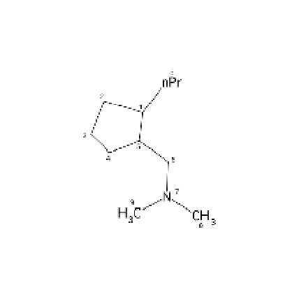 CCCC1CCCC1CN(C)C